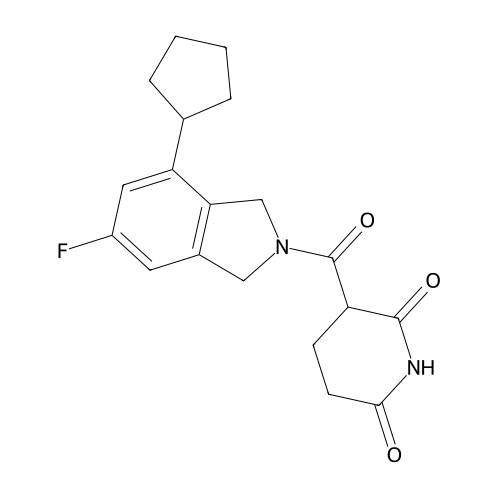 O=C1CCC(C(=O)N2Cc3cc(F)cc(C4CCCC4)c3C2)C(=O)N1